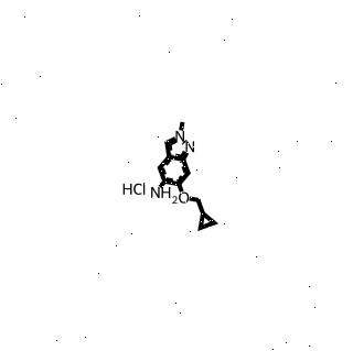 Cl.Cn1cc2cc(N)c(OCC3CC3)cc2n1